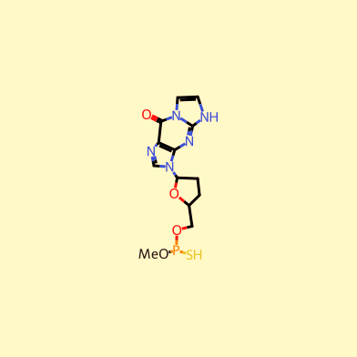 COP(S)OCC1CCC(n2cnc3c(=O)n4cc[nH]c4nc32)O1